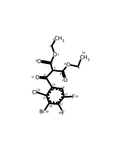 CCOC(=O)C(C(=O)OCC)C(=O)c1cc(F)c(F)c(Br)c1Cl